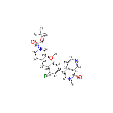 COc1cc(-c2cn(C)c(=O)c3cnccc23)cc(F)c1CC1CCN(C(=O)OC(C)(C)C)CC1